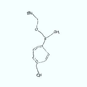 CC(C)(C)COB(O)c1ccc(O)cc1